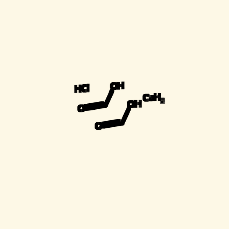 Cl.O=CO.O=CO.[CaH2]